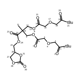 CC(C)(C)C(=O)COCC(=O)OCC(C)(COC(=O)COCC(=O)C(C)(C)C)C(=O)OCC1COC(=O)O1